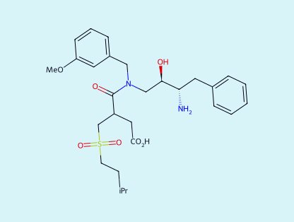 COc1cccc(CN(C[C@@H](O)[C@@H](N)Cc2ccccc2)C(=O)C(CC(=O)O)CS(=O)(=O)CCC(C)C)c1